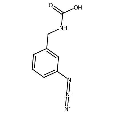 [N-]=[N+]=Nc1cccc(CNC(=O)O)c1